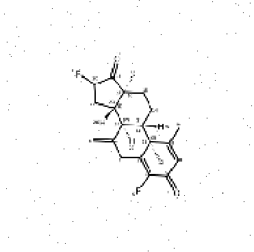 C=C1CC2=C(F)C(=O)C=C(C)[C@]2(C)[C@H]2CC[C@]3(C)C(=O)C(F)C[C@H]3[C@H]12